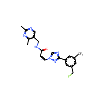 Cc1ncc(CNC(=O)/C=C\n2cnc(-c3cc(CF)cc(C(F)(F)F)c3)n2)c(C)n1